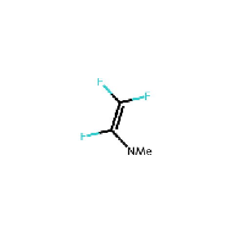 CNC(F)=C(F)F